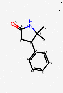 CC1(C)NC(=O)CC1c1ccccc1